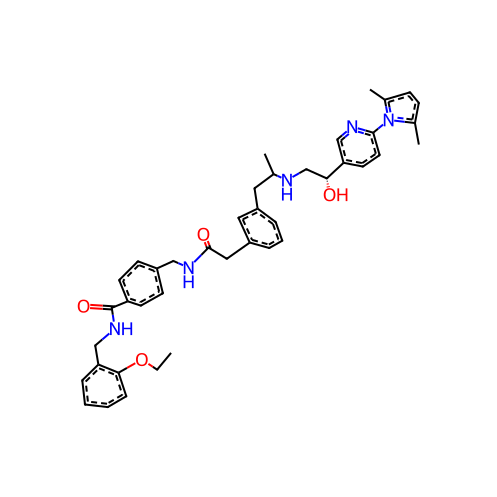 CCOc1ccccc1CNC(=O)c1ccc(CNC(=O)Cc2cccc(CC(C)NC[C@@H](O)c3ccc(-n4c(C)ccc4C)nc3)c2)cc1